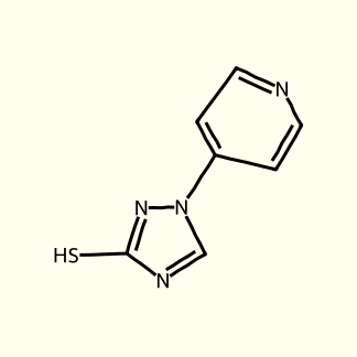 Sc1ncn(-c2ccncc2)n1